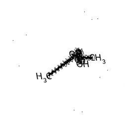 CCCCCCCCCCCCCCCCCC(=O)c1c(OC(=O)O)n(CCCCCC)c2ccccc12